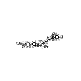 CC(C)C[C@H](NC(=O)c1ccc(N2CCN(C(=O)OC(C)(C)C)CC2)cc1)C(=O)NCCCCNS(=O)(=O)c1ccc(Cl)cc1Cl